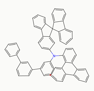 c1ccc(-c2cccc(-c3cccc(N(c4ccc5c(c4)C4(c6ccccc6-c6ccccc64)c4ccccc4-5)c4cccc5c6ccccc6c6ccccc6c45)c3)c2)cc1